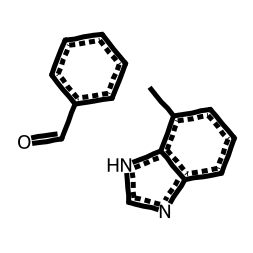 Cc1cccc2nc[nH]c12.O=Cc1ccccc1